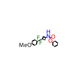 COc1ccc(C(F)(F)C23CC(NC(=O)Oc4ccccc4)(C2)C3)cc1